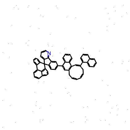 C1=C\C/C(c2cccc3ccccc23)=C\c2c(cc(-c3ccc4c(c3)-c3ncccc3C43c4ccccc4-c4cccc5cccc3c45)c3ccccc23)C\C=C/1